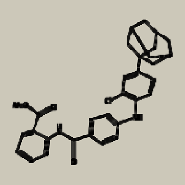 COC(=O)c1ccccc1NC(=O)c1ccc(Nc2ccc(C34CC5CC(CC(C5)C3)C4)cc2Cl)cc1